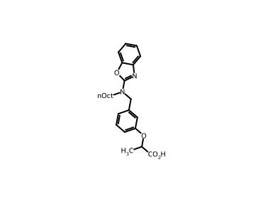 CCCCCCCCN(Cc1cccc(OC(C)C(=O)O)c1)c1nc2ccccc2o1